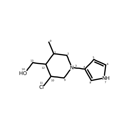 CC1CN(c2cc[nH]c2)CC(Cl)C1CO